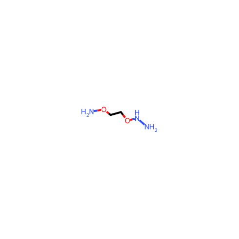 NNOCCON